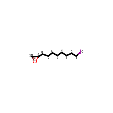 ICCCCCCCCC1CO1